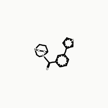 O=C(c1cccc(-c2ccsc2)c1)N1CCN2CCC1CC2